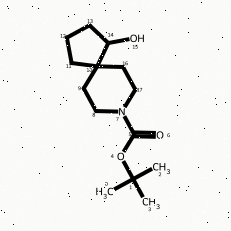 CC(C)(C)OC(=O)N1CCC2(CCCC2O)CC1